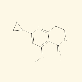 CSc1cc(C2CC2)nc2c1C(=O)NCC2